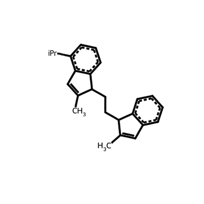 CC1=Cc2ccccc2C1CCC1C(C)=Cc2c(C(C)C)cccc21